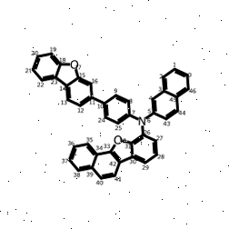 c1ccc2cc(N(c3ccc(-c4ccc5c(c4)oc4ccccc45)cc3)c3cccc4c3oc3c5ccccc5ccc43)ccc2c1